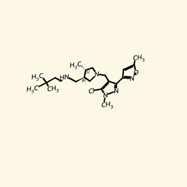 Cc1cc(-c2nn(C)c(Cl)c2CN2C[C@@H](CNCCC(C)(C)C)[C@H](C)C2)no1